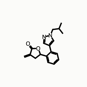 C=C1CC(c2ccccc2-c2cnn(CC(C)C)c2)OC1=O